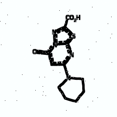 O=C(O)c1nn2c(=O)cc(N3CCCCC3)nc2s1